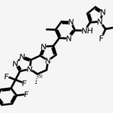 Cc1cnc(Nc2ccnn2C(F)F)nc1-c1cn2c(n1)-c1nnc(C(F)(F)c3ccccc3F)n1[C@@H](C)C2